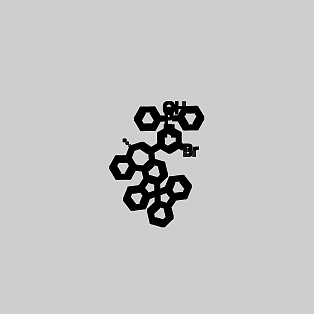 C[C@@H]1C=C(c2cc(Br)cc([PH](O)(c3ccccc3)c3ccccc3)c2)c2ccc3c(c2-c2ccccc21)-c1ccccc1C31c2ccccc2-c2ccccc21